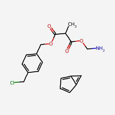 CC(C(=O)OCN)C(=O)OCc1ccc(CCl)cc1.c1cc2cc-2c1